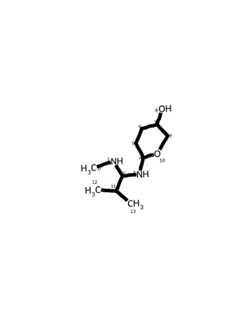 CNC(NC1CCC(O)CO1)C(C)C